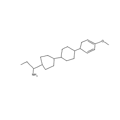 CCC(N)C1CCC(C2CCC(C3C=CC(OC)=CC3)CC2)CC1